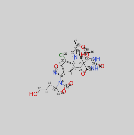 C[C@@H]1CN2c3c(cc4c(N5C(=O)OC[C@@H]5CCCO)noc4c3Cl)CC3(C(=O)NC(=O)NC3O)[C@H]2[C@H](C)O1